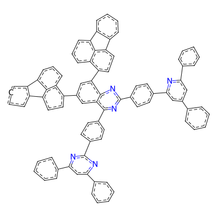 c1ccc(-c2cc(-c3ccccc3)nc(-c3ccc(-c4nc(-c5ccc(-c6nc(-c7ccccc7)cc(-c7ccccc7)n6)cc5)c5cc(-c6ccc7c8c(cccc68)-c6ccccc6-7)cc(-c6ccc7c8c(cccc68)-c6ccccc6-7)c5n4)cc3)c2)cc1